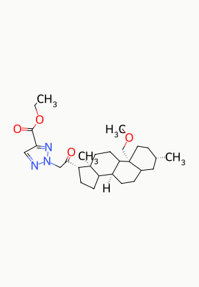 CCOC(=O)c1cnn(CC(=O)[C@H]2CCC3[C@@H]4CCC5C[C@@H](C)CC[C@]5(COC)C4CC[C@@]32C)n1